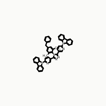 Cc1cc(Cc2ccccc2)cc(C)c1-n1c(-c2ccc(-n3c4ccccc4c4ccccc43)nc2)nnc1-c1ccc(-n2c3ccccc3c3ccccc32)nc1